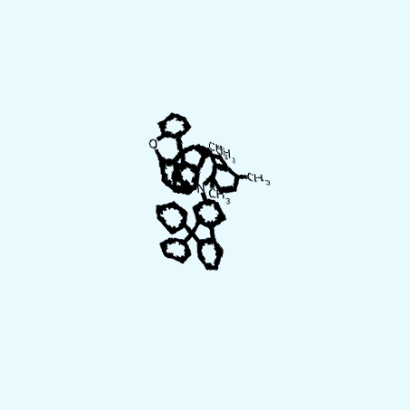 CC1C=CC2(C)C3=C1C(C)C1=C(C3C)C3(c4ccccc4Oc4ccc(cc43)N2c2ccc3c(c2)C(c2ccccc2)(c2ccccc2)c2ccccc2-3)c2ccccc21